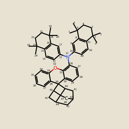 CC1(C)CCC(C)(C)c2cc(N(c3ccc4c(c3)C(C)(C)CCC4(C)C)c3cccc4c3Oc3ccccc3C43C4CC5CC6CC3C64C5)ccc21